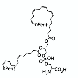 CCCCC/C=C\C/C=C\C/C=C\C/C=C\CCCCCC(=O)OC[C@H](COP(=O)(O)OC[C@H](N)C(=O)O)OC(=O)CCCC/C=C\C/C=C\C/C=C\CCCCC